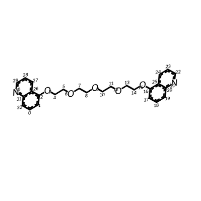 c1cc(OCCOCCOCCOCCOc2cccc3ncccc23)c2cccnc2c1